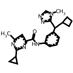 Cc1cc(C(=O)Nc2cccc(C(c3nncn3C)C3CCC3)c2)nc(C2CC2)n1